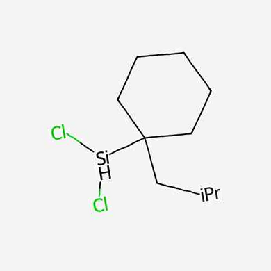 CC(C)CC1([SiH](Cl)Cl)CCCCC1